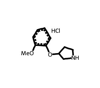 COc1ccccc1OC1CCNC1.Cl